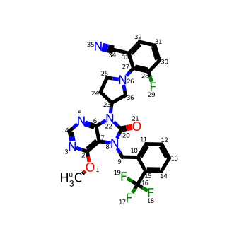 COc1ncnc2c1n(Cc1ccccc1C(F)(F)F)c(=O)n2C1CCN(c2c(F)cccc2C#N)C1